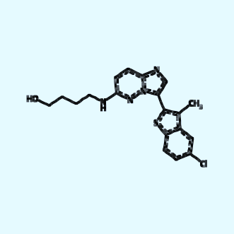 Cc1c(-c2cnc3ccc(NCCCCO)nn23)sc2ccc(Cl)cc12